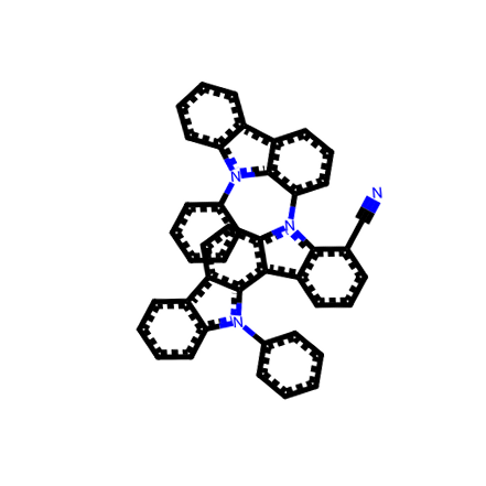 N#Cc1cccc2c3c(ccc4c5ccccc5n(-c5ccccc5)c43)n(-c3cccc4c5ccccc5n(-c5ccccc5)c34)c12